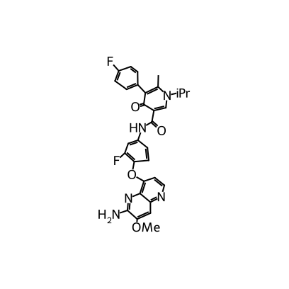 COc1cc2nccc(Oc3ccc(NC(=O)c4cn(C(C)C)c(C)c(-c5ccc(F)cc5)c4=O)cc3F)c2nc1N